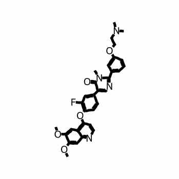 COc1cc2nccc(Oc3ccc(-c4cnc(-c5cccc(OCCN(C)C)c5)n(C)c4=O)cc3F)c2cc1OC